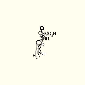 N=C(N)NCCC[C@@H]1NCCCCN(CC(=O)N[C@@H](CC(=O)O)C(=O)NC(=O)c2ccccc2)C1=O